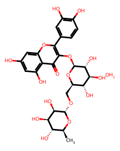 C[C@@H]1O[C@@H](OC[C@H]2O[C@@H](Oc3c(-c4ccc(O)c(O)c4)oc4cc(O)cc(O)c4c3=O)[C@H](O)[C@@H](O)[C@@H]2O)[C@H](O)[C@H](O)[C@H]1O.O